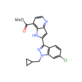 COC(=O)c1ccnc2cc(-c3nn(CC4CC4)c4cc(Cl)ccc34)[nH]c12